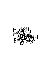 CC(C)(C)OC(=O)NC(CC1CCNC1=O)C(=O)CBr